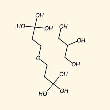 OC(O)(O)CCOCCC(O)(O)O.OCC(O)CO